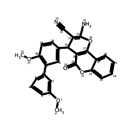 COc1cccc(-c2cc(C3C(C#N)=C(N)Oc4c3c(=O)oc3ccccc43)ccc2OC)c1